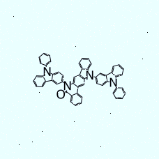 O=c1c2ccccc2c2cc3c(cc2n1-c1ccc2c(c1)c1ccccc1n2-c1ccccc1)c1ccccc1n3-c1ccc2c(c1)c1ccccc1n2-c1ccccc1